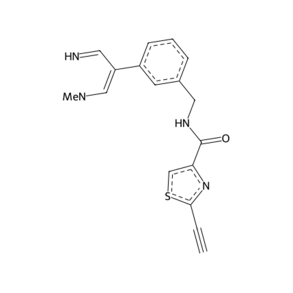 C#Cc1nc(C(=O)NCc2cccc(/C(C=N)=C/NC)c2)cs1